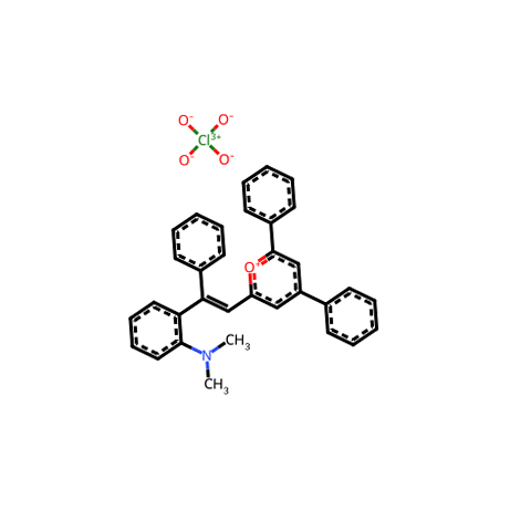 CN(C)c1ccccc1C(=Cc1cc(-c2ccccc2)cc(-c2ccccc2)[o+]1)c1ccccc1.[O-][Cl+3]([O-])([O-])[O-]